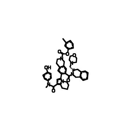 Cc1cccc(OC(=O)N2CCc3cc(-c4cc(C(=O)N(C)c5ccc(O)cc5)c5n4CCCC5)c(C(=O)N4Cc5ccccc5C[C@H]4CN4CCOCC4)cc3C2)c1